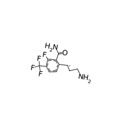 NCC[CH]c1ccc(C(F)(F)F)c(F)c1C(N)=O